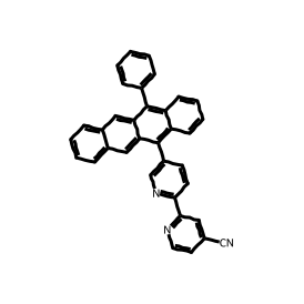 N#Cc1ccnc(-c2ccc(-c3c4ccccc4c(-c4ccccc4)c4cc5ccccc5cc34)cn2)c1